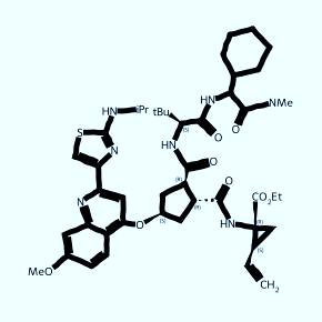 C=C[C@@H]1C[C@]1(NC(=O)[C@@H]1C[C@@H](Oc2cc(-c3csc(NC(C)C)n3)nc3cc(OC)ccc23)C[C@H]1C(=O)N[C@H](C(=O)NC(C(=O)NC)C1CCCCC1)C(C)(C)C)C(=O)OCC